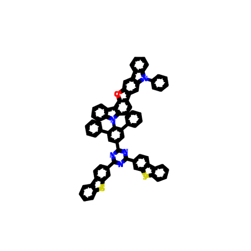 c1ccc(-c2cc(-c3nc(-c4ccc5c(c4)sc4ccccc45)nc(-c4ccc5c(c4)sc4ccccc45)n3)cc(-c3ccccc3)c2-n2c3ccccc3c3c4oc5cc6c7ccccc7n(-c7ccccc7)c6cc5c4ccc32)cc1